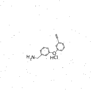 C#Cc1cccc(Oc2cccc(CN)c2)c1.Cl